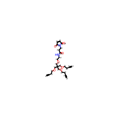 C#CCCOCC(COCCC#C)(COCCC#C)COCCNC(=O)CCN1C(=O)C=CC1=O